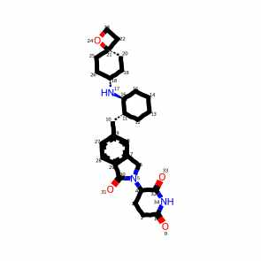 O=C1CCC(N2Cc3cc(C[C@H]4CCCC[C@@H]4N[C@H]4CC[C@]5(CCO5)CC4)ccc3C2=O)C(=O)N1